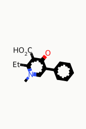 CCc1c(C(=O)O)c(=O)c(-c2ccccc2)cn1C